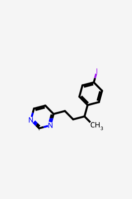 CC(CCc1ccn[c]n1)c1ccc(I)cc1